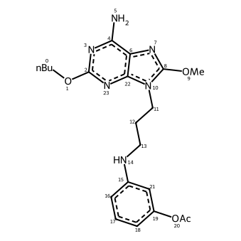 CCCCOc1nc(N)c2nc(OC)n(CCCNc3cccc(OC(C)=O)c3)c2n1